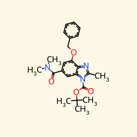 Cc1nc2c(OCc3ccccc3)cc(C(=O)N(C)C)cc2n1C(=O)OC(C)(C)C